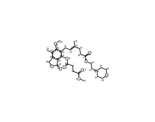 COC(=O)CCC(=O)Oc1c(C/C=C(\C)CCC(=O)OCCN2CCOCC2)c(OC)c(C)c2c1C(=O)OC2